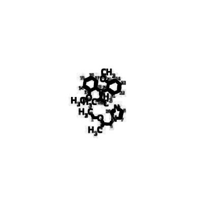 CCOC(C)Cn1ccnc1.COc1ccccc1B(c1ccccc1OC)C(C)C